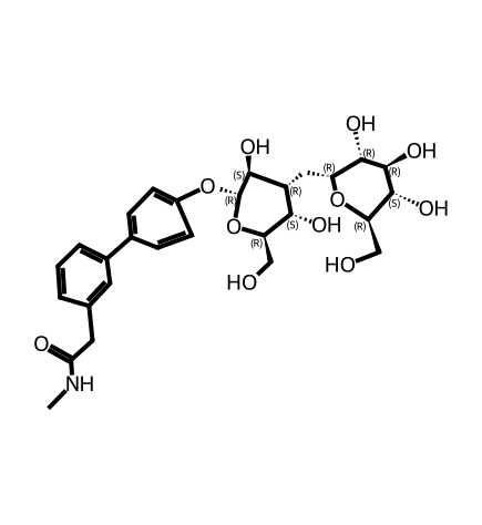 CNC(=O)Cc1cccc(-c2ccc(O[C@H]3O[C@H](CO)[C@@H](O)[C@@H](C[C@H]4O[C@H](CO)[C@@H](O)[C@H](O)[C@H]4O)[C@@H]3O)cc2)c1